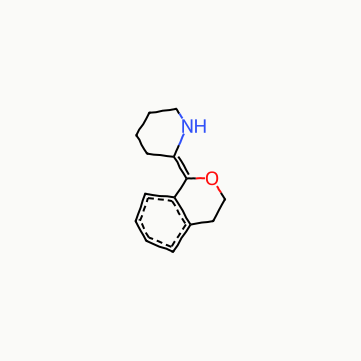 c1ccc2c(c1)CCO/C2=C1/CCCCN1